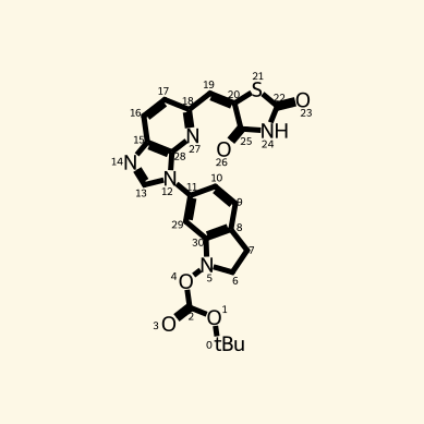 CC(C)(C)OC(=O)ON1CCc2ccc(-n3cnc4ccc(C=C5SC(=O)NC5=O)nc43)cc21